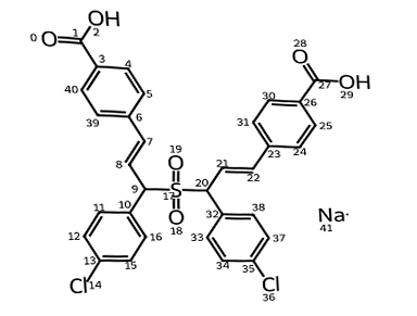 O=C(O)c1ccc(C=CC(c2ccc(Cl)cc2)S(=O)(=O)C(C=Cc2ccc(C(=O)O)cc2)c2ccc(Cl)cc2)cc1.[Na]